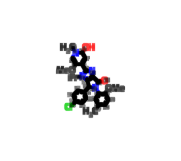 COC1=CN(C)C(O)C=C1c1nc2c(n1C(C)C)C(c1ccc(Cl)cc1)N(c1cc(C)ccc1OC)C2=O